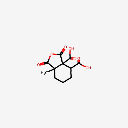 CC12CCCC(C(=O)O)C1(C(=O)O)C(=O)OC2=O